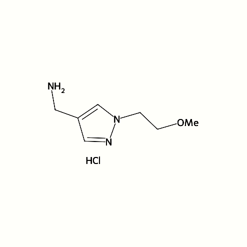 COCCn1cc(CN)cn1.Cl